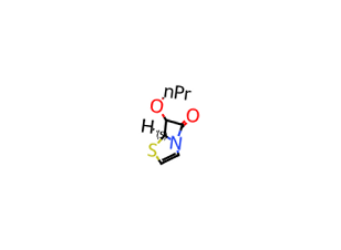 CCCOC1C(=O)N2C=CS[C@@H]12